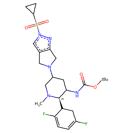 CN1CC(N2Cc3cn(S(=O)(=O)C4CC4)nc3C2)CC(NC(=O)OC(C)(C)C)[C@H]1C1CC(F)=CC=C1F